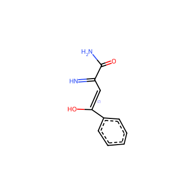 N=C(/C=C(\O)c1ccccc1)C(N)=O